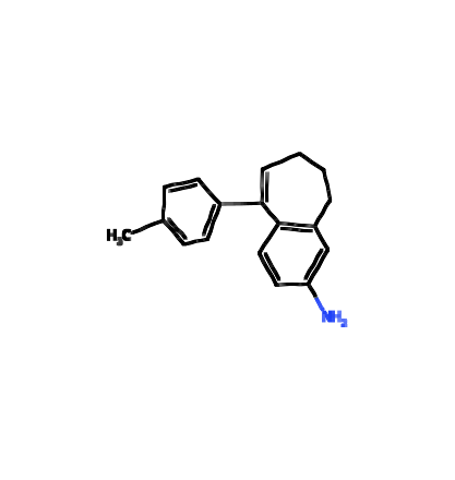 Cc1ccc(C2=CCCCc3cc(N)ccc32)cc1